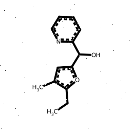 CCc1oc(C(O)c2ccccn2)cc1C